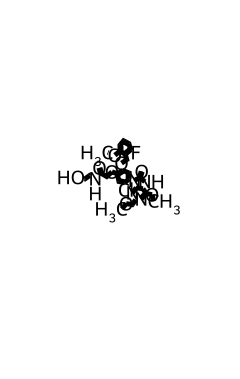 COCC1=NC2C(NC(=O)N2c2cc(OCc3c(F)cccc3OC)c(OCC(=O)NCCO)cc2Cl)C(OC)=N1